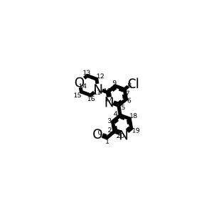 O=Cc1cc(-c2cc(Cl)cc(N3CCOCC3)n2)ccn1